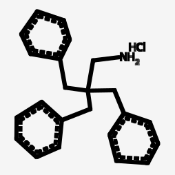 Cl.NCC(Cc1ccccc1)(Cc1ccccc1)Cc1ccccc1